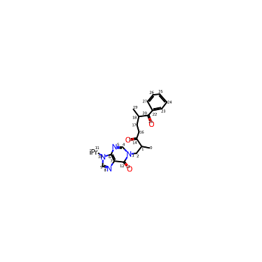 CC(Cn1cnc2c(ncn2C(C)C)c1=O)C(=O)CCC(C)C(=O)c1ccccc1